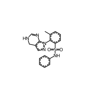 Cc1cccc(S(=O)(=O)Nc2ccccc2)c1-n1ncc2c1N=CNC2